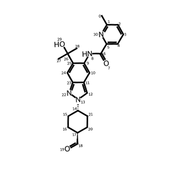 Cc1cccc(C(=O)Nc2cc3cn([C@H]4CC[C@H](C=O)CC4)nc3cc2C(C)(C)O)n1